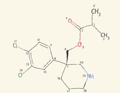 CC(C)C(=O)OC[C@]1(c2ccc(Cl)c(Cl)c2)CCCNC1